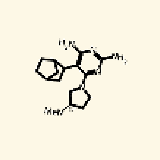 CN[C@H]1CCN(c2nc(N)nc(N)c2C2CC3CCC2C3)C1